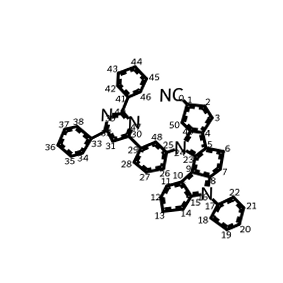 N#Cc1ccc2c3ccc4c(c5ccccc5n4-c4ccccc4)c3n(-c3cccc(-c4cc(-c5ccccc5)nc(-c5ccccc5)n4)c3)c2c1